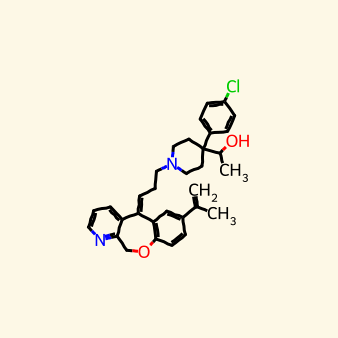 C=C(C)c1ccc2c(c1)C(=CCCN1CCC(c3ccc(Cl)cc3)(C(C)O)CC1)c1cccnc1CO2